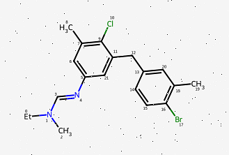 CCN(C)C=Nc1cc(C)c(Cl)c(Cc2ccc(Br)c(C)c2)c1